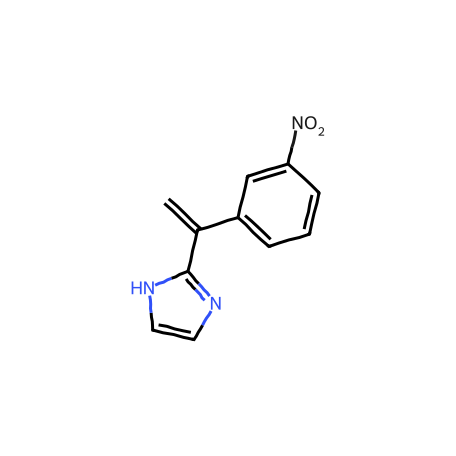 C=C(c1cccc([N+](=O)[O-])c1)c1ncc[nH]1